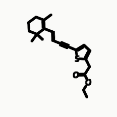 CCOC(=O)Cc1ccc(C#CC=CC2=C(C)CCCC2(C)C)s1